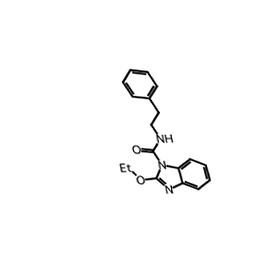 CCOc1nc2ccccc2n1C(=O)NCCc1ccccc1